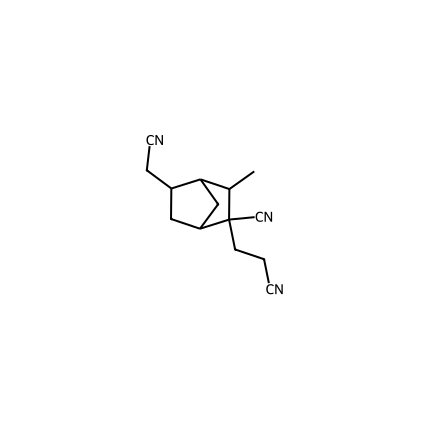 CC1C2CC(CC2CC#N)C1(C#N)CCC#N